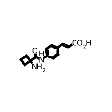 NC1(C(=O)Nc2ccc(C=CC(=O)O)cc2)CCC1